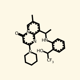 Cc1cc(C(C)Nc2ccccc2C(O)C(F)(F)F)c2nc(N3CCCCC3)cc(=O)n2c1